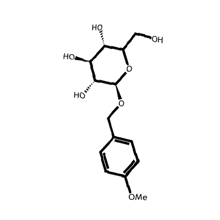 COc1ccc(CO[C@@H]2OC(CO)[C@@H](O)[C@H](O)[C@H]2O)cc1